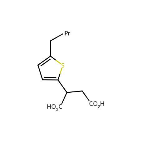 CC(C)Cc1ccc(C(CC(=O)O)C(=O)O)s1